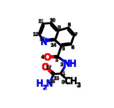 CC(NC(=O)c1cccc2cccnc12)C(N)=O